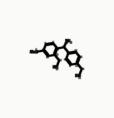 COc1ccc(C(N)c2ccc(CO)cc2)c(CO)c1